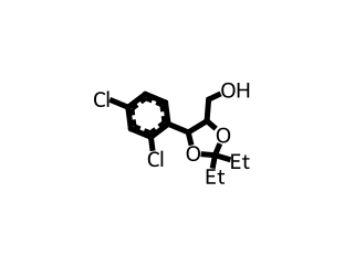 CCC1(CC)OC(CO)C(c2ccc(Cl)cc2Cl)O1